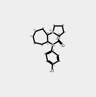 CCC(=O)N(c1ccc(Cl)cc1)C1CCCCCC1N1CCCC1